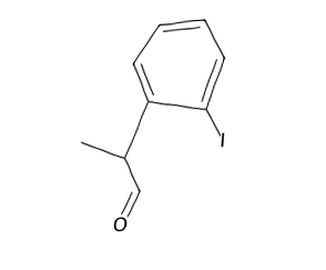 CC(C=O)c1ccccc1I